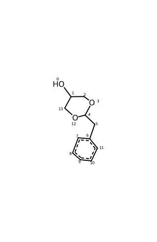 OC1COC(Cc2ccccc2)OC1